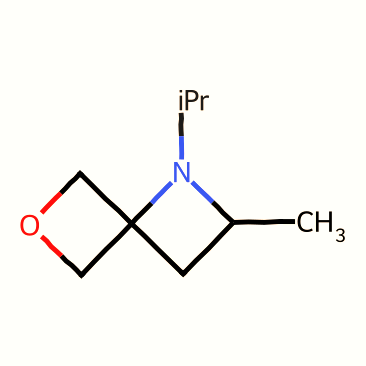 CC(C)N1C(C)CC12COC2